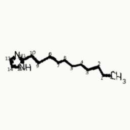 CCCCCCCCCCCc1ncc[nH]1